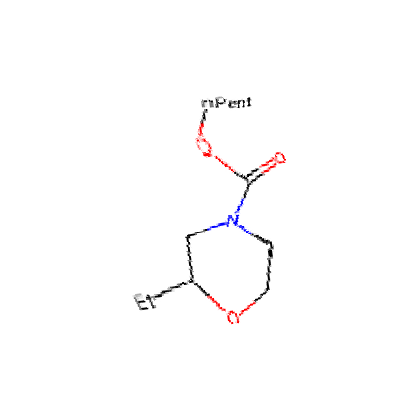 CCCCCOC(=O)N1CCOC(CC)C1